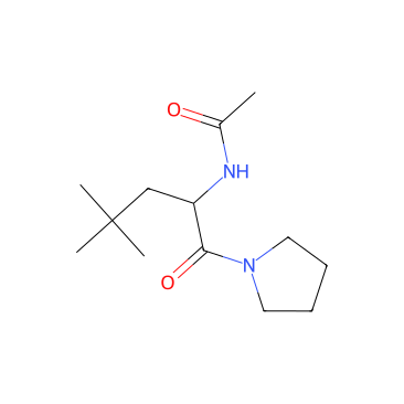 CC(=O)NC(CC(C)(C)C)C(=O)N1CCCC1